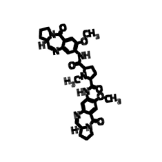 COc1cc2c(cc1NC(=O)C1CCC(C(=O)Nc3cc4c(cc3OC)C(=O)N3CCC[C@H]3C=N4)N1C)N=C[C@@H]1CCCN1C2=O